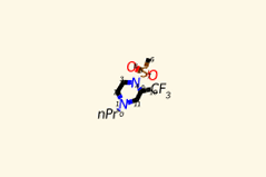 CCCN1CCN(S(C)(=O)=O)C(C(F)(F)F)C1